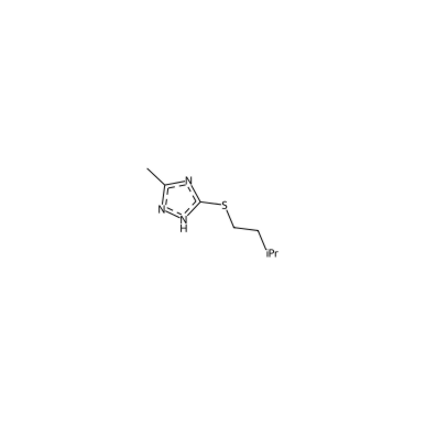 Cc1n[nH]c(SCCC(C)C)n1